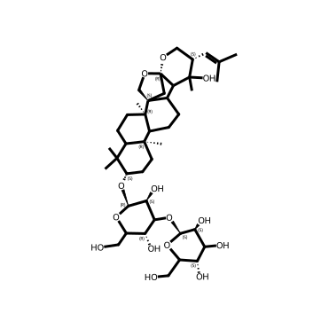 CC(C)=C[C@H]1CO[C@]23C[C@]4(CO2)C(CCC2[C@@]5(C)CC[C@H](O[C@@H]6OC(CO)[C@@H](O)C(O[C@@H]7OC(CO)[C@@H](O)C(O)[C@@H]7O)[C@@H]6O)C(C)(C)C5CC[C@]24C)C3C1(C)O